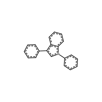 [c]1ccccc1-c1cn(-c2ccccc2)c2ccccc12